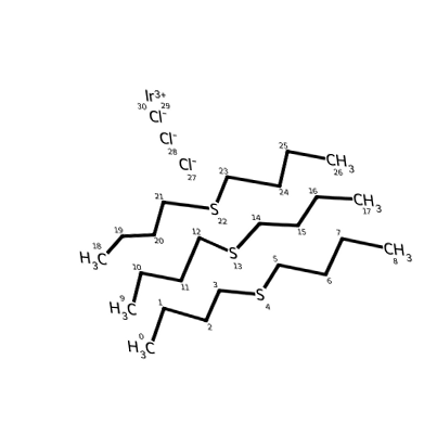 CCCCSCCCC.CCCCSCCCC.CCCCSCCCC.[Cl-].[Cl-].[Cl-].[Ir+3]